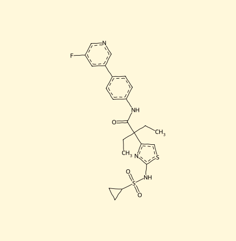 CCC(CC)(C(=O)Nc1ccc(-c2cncc(F)c2)cc1)c1csc(NS(=O)(=O)C2CC2)n1